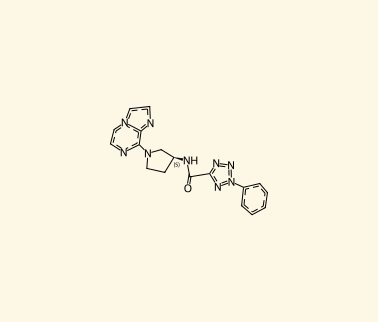 O=C(N[C@H]1CCN(c2nccn3ccnc23)C1)c1nnn(-c2ccccc2)n1